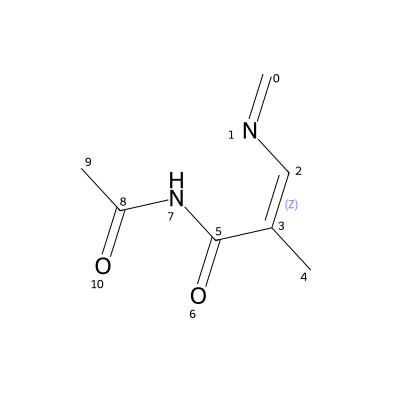 C=N/C=C(/C)C(=O)NC(C)=O